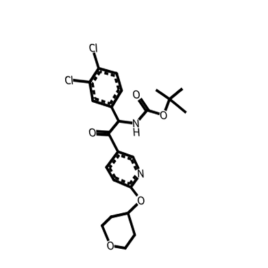 CC(C)(C)OC(=O)NC(C(=O)c1ccc(OC2CCOCC2)nc1)c1ccc(Cl)c(Cl)c1